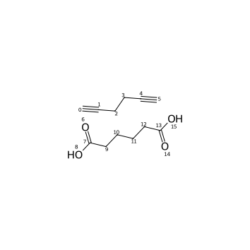 C#CCCC#C.O=C(O)CCCCC(=O)O